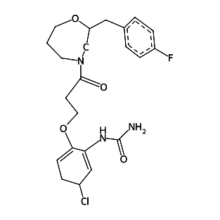 NC(=O)NC1=CC(Cl)CC=C1OCCC(=O)N1CCCOC(Cc2ccc(F)cc2)C1